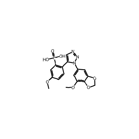 COc1ccc(-c2cnnn2-c2cc(OC)c3c(c2)OCO3)c(P(=O)(O)O)c1